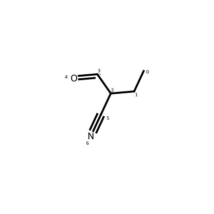 CCC([C]=O)C#N